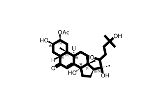 CC(=O)O[C@H]1C[C@@]2(C)[C@@H](C[C@H]1O)C(=O)C=C1[C@@H]2CC[C@]2(C)[C@@H]([C@](C)(O)C(O)CCC(C)(C)O)CC[C@@]12O